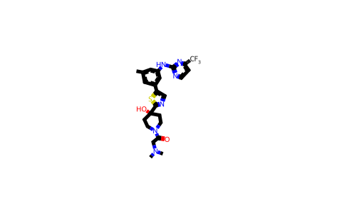 Cc1cc(Nc2nccc(C(F)(F)F)n2)cc(-c2cnc(C3(O)CCN(C(=O)CN(C)C)CC3)s2)c1